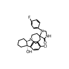 O=C1NCN(c2ccc(F)cc2)C12CCN([C@@H]1CCCC[C@]1(O)c1ccc(Cl)cc1)CC2